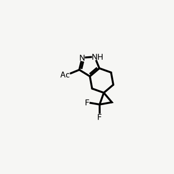 CC(=O)c1n[nH]c2c1CC1(CC2)CC1(F)F